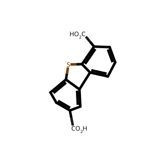 O=C(O)c1ccc2sc3c(C(=O)O)cccc3c2c1